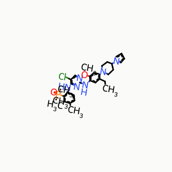 CCc1cc(Nc2ncc(Cl)c(Nc3ccc(C)c(C)c3P(C)(C)=O)n2)c(OC)cc1N1CCC(n2cccc2)CC1